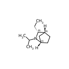 CC[C@@H]1[C@@H]2CC[C@@H](C2)N1C(C)C